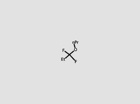 CCCOC(F)(F)CC